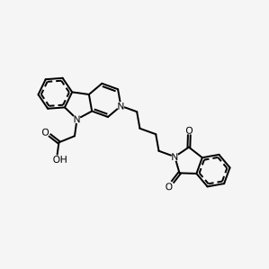 O=C(O)CN1C2=CN(CCCCN3C(=O)c4ccccc4C3=O)C=CC2c2ccccc21